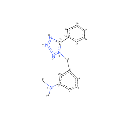 CN(C)c1cccc(Cn2nnnc2-c2ccccc2)c1